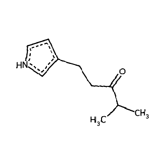 CC(C)C(=O)CCc1cc[nH]c1